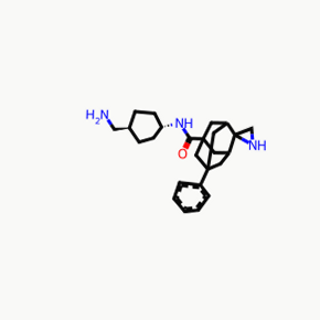 NC[C@H]1CC[C@H](NC(=O)C23CC4CC(c5ccccc5)(CC(C2)C42CN2)C3)CC1